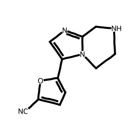 N#Cc1ccc(-c2cnc3n2CCNC3)o1